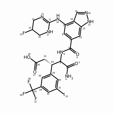 NC(=O)C(NC(=O)c1cc(NC2=NCC(F)CN2)c2cn[nH]c2c1)[C@@H](CC(=O)O)c1cc(I)cc(C(F)(F)F)c1